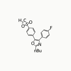 CCCCc1nc(-c2ccc(F)cc2)c(-c2ccc(S(C)(=O)=O)cc2)o1